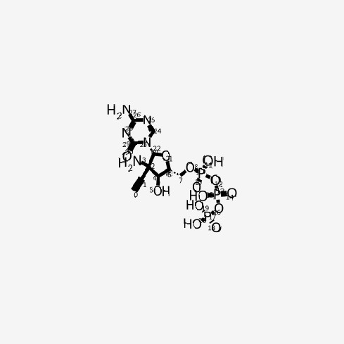 C#CC1(N)C(O)[C@@H](COP(=O)(O)OP(=O)(O)OP(=O)(O)O)O[C@H]1n1cnc(N)nc1=O